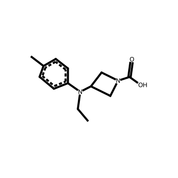 CCN(c1ccc(C)cc1)C1CN(C(=O)O)C1